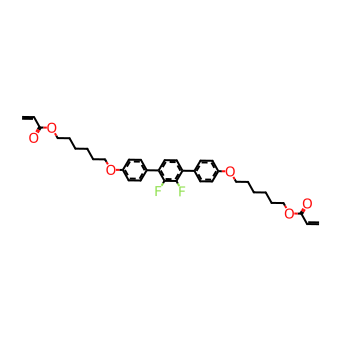 C=CC(=O)OCCCCCCOc1ccc(-c2ccc(-c3ccc(OCCCCCCOC(=O)C=C)cc3)c(F)c2F)cc1